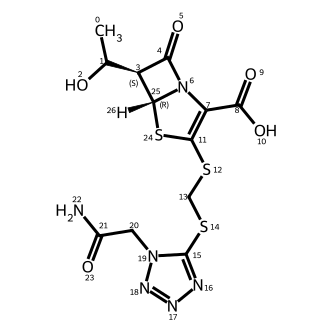 CC(O)[C@H]1C(=O)N2C(C(=O)O)=C(SCSc3nnnn3CC(N)=O)S[C@H]12